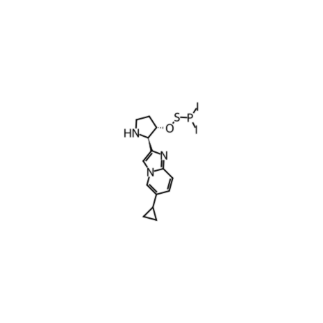 IP(I)SO[C@H]1CCN[C@@H]1c1cn2cc(C3CC3)ccc2n1